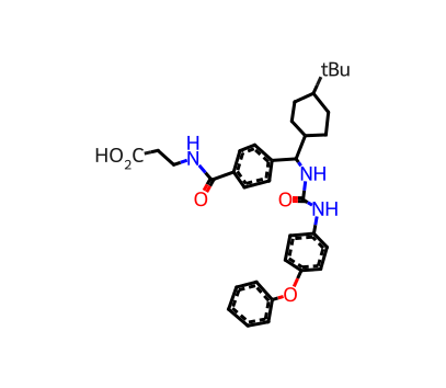 CC(C)(C)C1CCC(C(NC(=O)Nc2ccc(Oc3ccccc3)cc2)c2ccc(C(=O)NCCC(=O)O)cc2)CC1